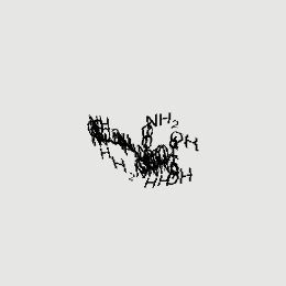 CC(CCC(=O)N[C@@H](CC(=O)N[C@@H](CC(N)=O)C(=O)O[C@@H](CCCCn1cc(CCCC(=O)Nc2nnc(S(N)(=O)=O)s2)nn1)C(=O)NCCOCCOCCN)C(=O)O)(c1ccc(O)cc1)c1ccc(O)cc1